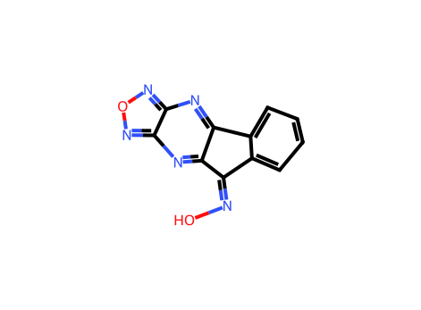 O/N=C1/c2ccccc2-c2nc3nonc3nc21